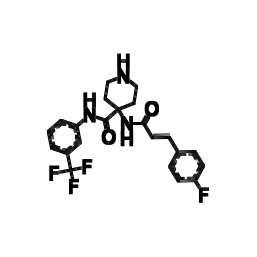 O=C(/C=C/c1ccc(F)cc1)NC1(C(=O)Nc2cccc(C(F)(F)F)c2)CCNCC1